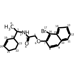 CC(NC(=O)COc1ccc2ccccc2c1Br)C1C=CCCC1